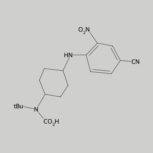 CC(C)(C)N(C(=O)O)C1CCC(Nc2ccc(C#N)cc2[N+](=O)[O-])CC1